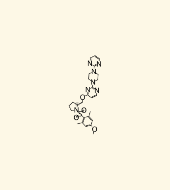 COc1cc(C)c(S(=O)(=O)N2CCC[C@H]2COc2ccnc(N3CCN(c4ncccn4)CC3)n2)c(C)c1